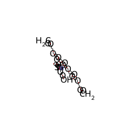 C=CC(=O)OCCCCCCOc1ccc(OC(=O)C2CCC(COc3ccc(OC(=O)C4CCC(C(=O)Oc5ccc(OCCCCCCOC(=O)C=C)cc5)CC4)c(/C=N/N(CCOCCOCCO)c4nc5ccccc5s4)c3)CC2)cc1